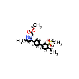 CCOC(=O)Cn1nc(C)cc1-c1ccc(-c2ccc(CC)c(S(=O)(=O)CC)c2)cc1